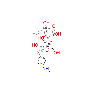 Nc1ccc(S[C@@H]2O[C@H](CO)[C@@H](O[C@H]3O[C@H](CO)[C@@H](O)[C@H](O)[C@H]3O)[C@H](O)[C@H]2O)cc1